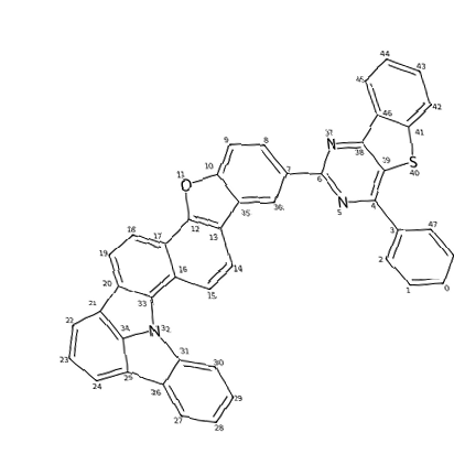 c1ccc(-c2nc(-c3ccc4oc5c(ccc6c5ccc5c7cccc8c9ccccc9n(c65)c87)c4c3)nc3c2sc2ccccc23)cc1